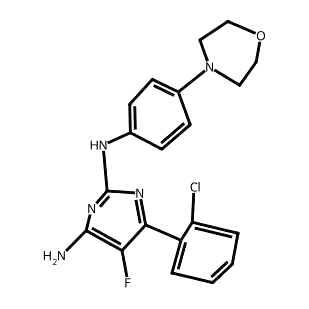 Nc1nc(Nc2ccc(N3CCOCC3)cc2)nc(-c2ccccc2Cl)c1F